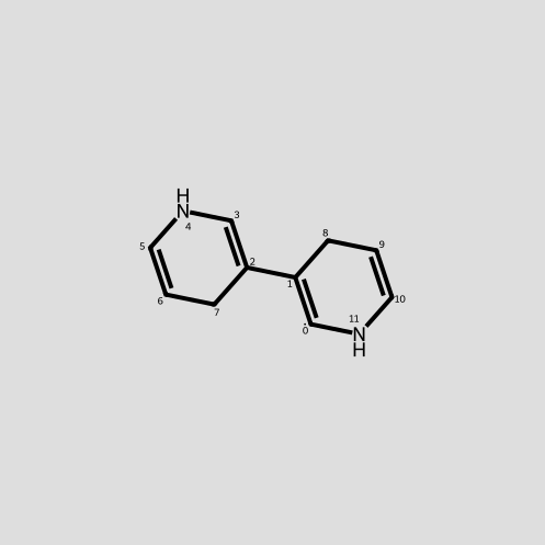 [C]1=C(C2=CNC=CC2)CC=CN1